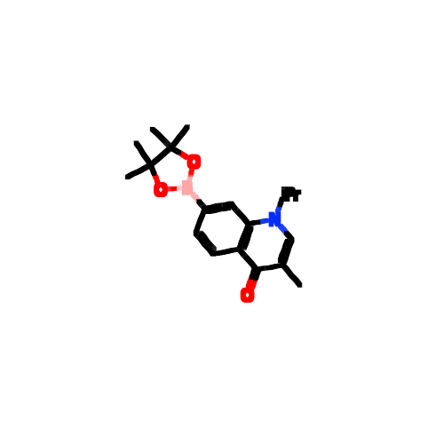 Cc1cn(C(C)C)c2cc(B3OC(C)(C)C(C)(C)O3)ccc2c1=O